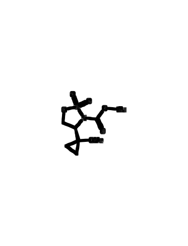 COC1([C@H]2COS(=O)(=O)N2C(=O)OC(C)(C)C)CC1